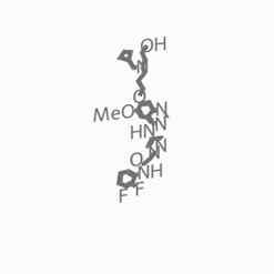 COc1cc2c(Nc3cnn(CC(=O)Nc4cccc(F)c4F)c3)ncnc2cc1OCCCN(CCO)CC1CCC1